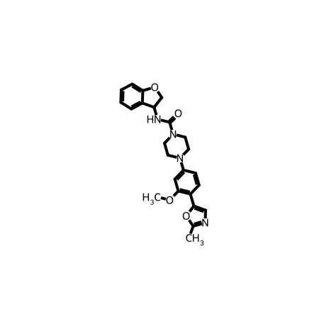 COc1cc(N2CCN(C(=O)NC3COc4ccccc43)CC2)ccc1-c1cnc(C)o1